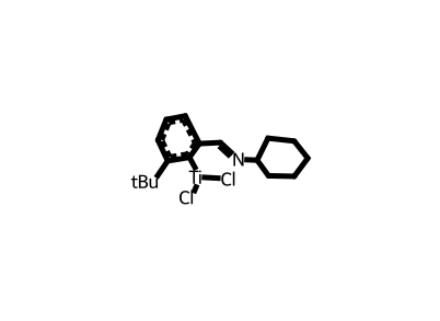 CC(C)(C)c1cccc(C=NC2CCCCC2)[c]1[Ti]([Cl])[Cl]